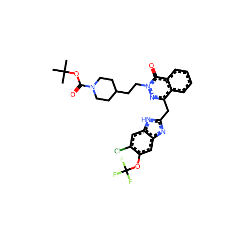 CC(C)(C)OC(=O)N1CCC(CCn2nc(Cc3nc4cc(OC(F)(F)F)c(Cl)cc4[nH]3)c3ccccc3c2=O)CC1